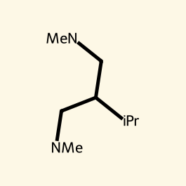 CNCC(CNC)C(C)C